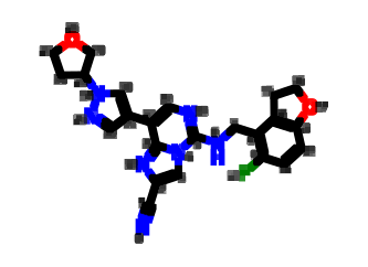 N#Cc1cn2c(NCc3c(F)ccc4c3CCO4)ncc(-c3cnn(C4CCOC4)c3)c2n1